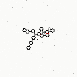 c1ccc(-c2ccc(-c3ccc(N(c4cccc(-c5ccc6ccccc6c5)c4)c4cccc(-c5ccccc5N(c5ccc6c(c5)oc5ccccc56)c5ccccc5-c5ccccc5)c4)cc3)cc2)cc1